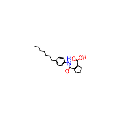 CCCCCCCc1ccc(NC(=O)C2=C(C(=O)O)CCC2)cc1